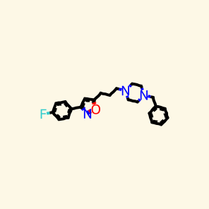 Fc1ccc(-c2cc(CCCN3CCN(Cc4ccccc4)CC3)on2)cc1